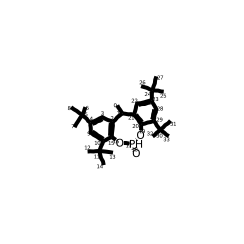 CC1c2cc(C(C)(C)C)cc(C(C)(C)C)c2O[PH](=O)Oc2c1cc(C(C)(C)C)cc2C(C)(C)C